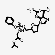 COc1nc(N)nc2c1ncn2C1CCC(COP(=O)(NCC(=O)OC(C)C)Oc2ccccc2)O1